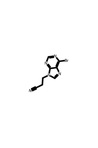 N#CCCn1cnc2c(Br)ncnc21